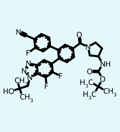 CC(C)(O)Cn1nnc2cc(-c3ccc(C(=O)N4CCC(NC(=O)OC(C)(C)C)C4)cc3-c3ccc(C#N)c(F)c3)c(F)c(F)c21